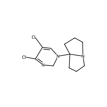 ClC1=CN(C23CCCN2CCC3)CN=C1Cl